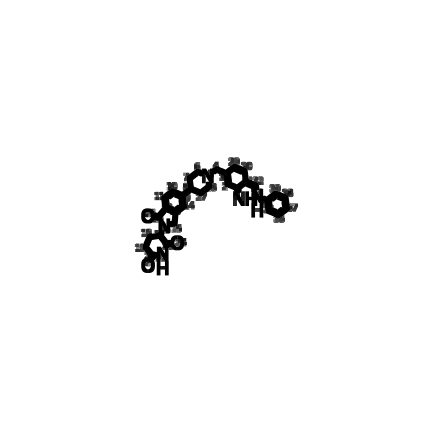 N=C1C=C(CN2CCC(c3ccc4c(c3)CN(C3CCC(=O)NC3=O)C4=O)CC2)C=C/C1=C/Nc1ccccc1